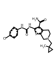 CC1(CN2CCc3c(sc(NC(=O)Nc4ccc(Cl)cc4)c3C(N)=O)C2)CC1